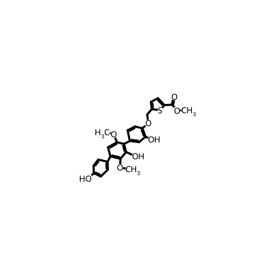 COC(=O)c1ccc(COc2ccc(-c3c(OC)cc(-c4ccc(O)cc4)c(OC)c3O)cc2O)s1